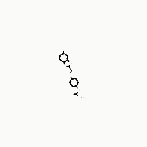 COC(=O)Nc1ccc(OCc2nc3cc(F)ccc3o2)cc1